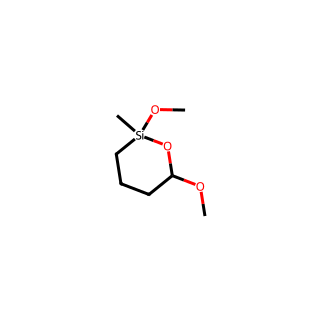 COC1CCC[Si](C)(OC)O1